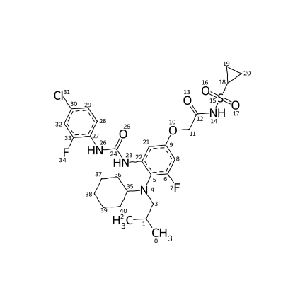 CC(C)CN(c1c(F)cc(OCC(=O)NS(=O)(=O)C2CC2)cc1NC(=O)Nc1ccc(Cl)cc1F)C1CCCCC1